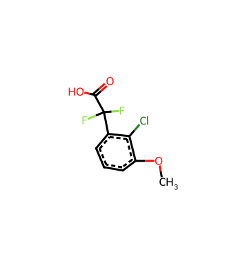 COc1cccc(C(F)(F)C(=O)O)c1Cl